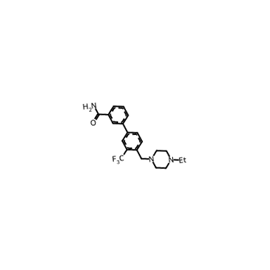 CCN1CCN(Cc2ccc(-c3cccc(C(N)=O)c3)cc2C(F)(F)F)CC1